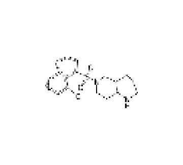 O=S(=O)(c1cccc2cncc(Cl)c12)N1CCC2NCCCC2C1